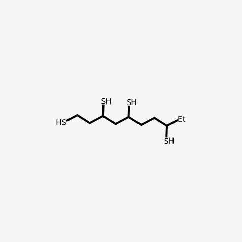 CCC(S)CCC(S)CC(S)CCS